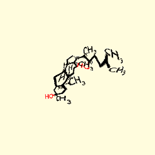 CC(C)CC[C@@H](O)[C@@H](C)[C@H]1CC[C@H]2[C@@H]3CC=C4C[C@@](C)(O)CC[C@]4(C)[C@H]3CC[C@]12C